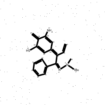 C=CC(/C(=N\N(C)C(C)(C)C)c1ccccc1)=c1\cc(N)c(=C)c(S)c1